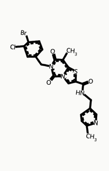 Cc1ccc(CNC(=O)c2cn3c(=O)n(Cc4ccc(Br)c(Cl)c4)c(=O)c(C)c3s2)cn1